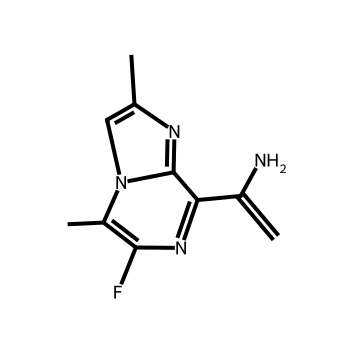 C=C(N)c1nc(F)c(C)n2cc(C)nc12